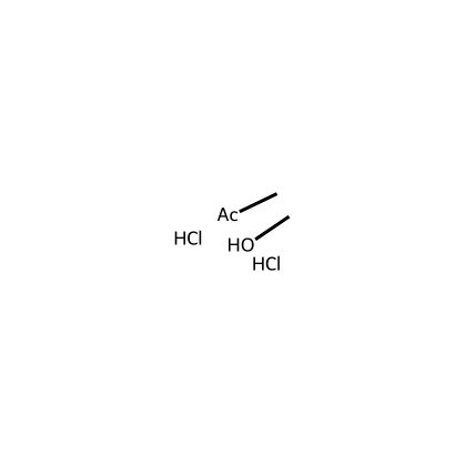 CC(C)=O.CO.Cl.Cl